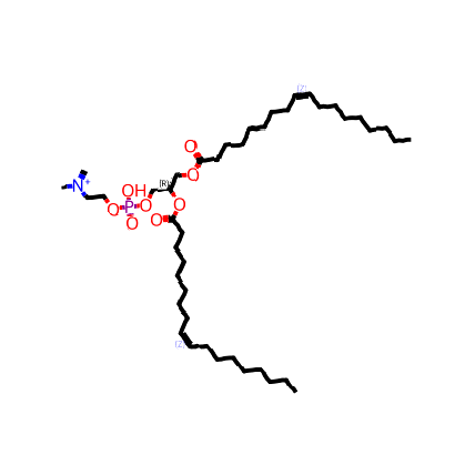 C=[N+](C)CCOP(=O)(O)OC[C@@H](COC(=O)CCCCCCC/C=C\CCCCCCCC)OC(=O)CCCCCCC/C=C\CCCCCCCC